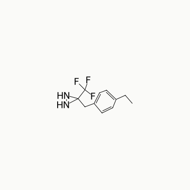 CCc1ccc(CC2(C(F)(F)F)NN2)cc1